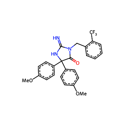 COc1ccc(C2(c3ccc(OC)cc3)NC(=N)N(Cc3ccccc3C(F)(F)F)C2=O)cc1